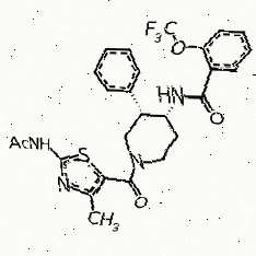 CC(=O)Nc1nc(C)c(C(=O)N2CC[C@@H](NC(=O)c3ccccc3OC(F)(F)F)[C@@H](c3ccccc3)C2)s1